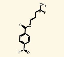 C[C@@H](F)CCCOC(=O)c1ccc([N+](=O)[O-])cc1